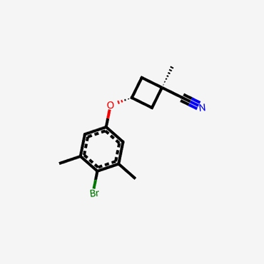 Cc1cc(O[C@H]2C[C@](C)(C#N)C2)cc(C)c1Br